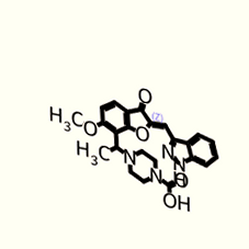 COc1ccc2c(c1C(C)N1CCN(C(=O)O)CC1)O/C(=C\c1n[nH]c3ccccc13)C2=O